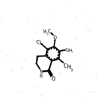 COc1c(O)c(C)c2c(c1Cl)CCNC2=O